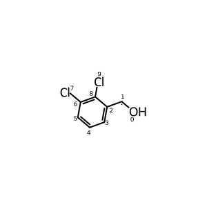 O[CH]c1cccc(Cl)c1Cl